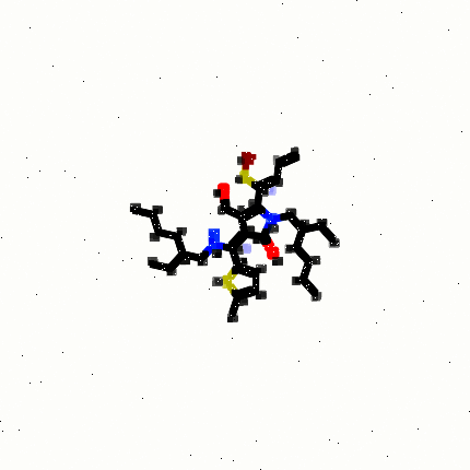 C=C/C=C(\SBr)C1=C(C=O)/C(=C(\NCC(CC)CCCC)c2ccc(C)s2)C(=O)N1CC(CC)CCCC